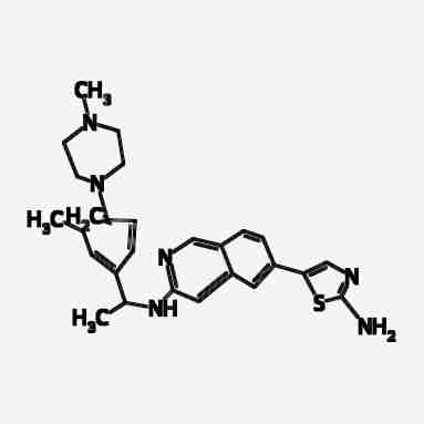 C=C(/C=C\C(=C/CC)C(C)Nc1cc2cc(-c3cnc(N)s3)ccc2cn1)N1CCN(C)CC1